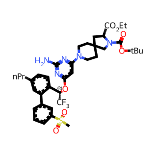 CCCc1ccc([C@@H](Oc2cc(N3CCC4(CC3)CC(C(=O)OCC)N(C(=O)OC(C)(C)C)C4)nc(N)n2)C(F)(F)F)c(-c2cccc(S(C)(=O)=O)c2)c1